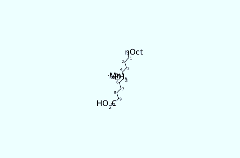 CCCCCCCCCCCCCCCCCC(=O)O.P.[Mn]